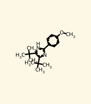 COc1ccc(-c2nc(C(C)(C)C)c(C(C)(C)C)[nH]2)cc1